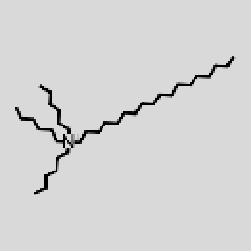 CCCCCCCCCCCCCCCCCC[N+](CCCCCC)(CCCCCC)CCCCCC